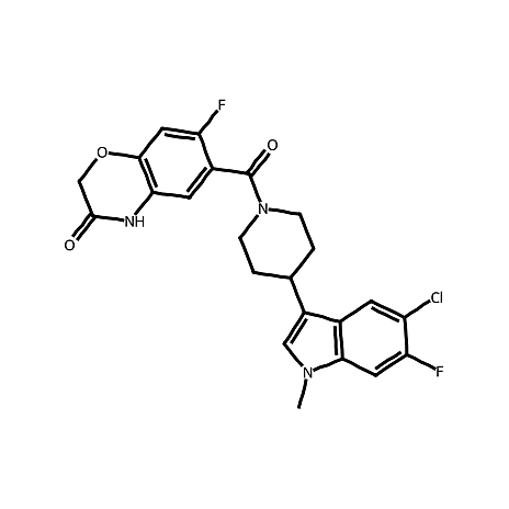 Cn1cc(C2CCN(C(=O)c3cc4c(cc3F)OCC(=O)N4)CC2)c2cc(Cl)c(F)cc21